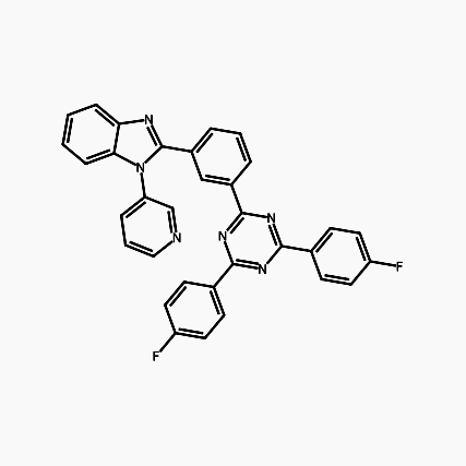 Fc1ccc(-c2nc(-c3ccc(F)cc3)nc(-c3cccc(-c4nc5ccccc5n4-c4cccnc4)c3)n2)cc1